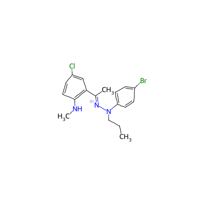 CCCN(/N=C(\C)c1cc(Cl)ccc1NC)c1ccc(Br)cc1